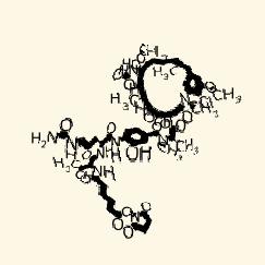 COc1cc2cc(c1Cl)N(C)C(=O)C[C@H](OC(=O)[C@H](C)N(C)C(=O)c1ccc(NC(=O)[C@H](CCCNC(N)=O)NC(=O)[C@@H](NC(=O)CCCCC(=O)ON3C(=O)CCC3=O)C(C)C)c(O)c1)[C@]1(C)O[C@H]1[C@H](C)[C@@H]1C[C@@](O)(NC(=O)O1)[C@H](OC)/C=C/C=C(\C)C2